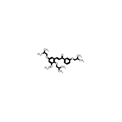 COc1cc(OCC(C)C)cc(C=CC(=O)c2cccc(OCC(C)C)c2)c1OCC(C)C